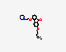 CCCCOc1ccc2c(c1)C(=O)c1cccc(OCCN3CCCCC3)c1-2